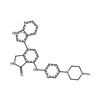 CN1CCN(c2ccc(Nc3ccc(-c4c[nH]c5ncccc45)c4c3C(=O)NC4)nc2)CC1